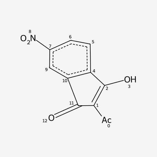 CC(=O)C1=C(O)c2ccc([N+](=O)[O-])cc2C1=O